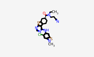 CCN(CCC#N)C(=O)[C@H]1CCc2c(sc3ncnc(Nc4cc5sn(C)c5cc4Cl)c23)C1